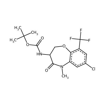 CN1C(=O)C(NC(=O)OC(C)(C)C)COc2c1cc(Cl)cc2C(F)(F)F